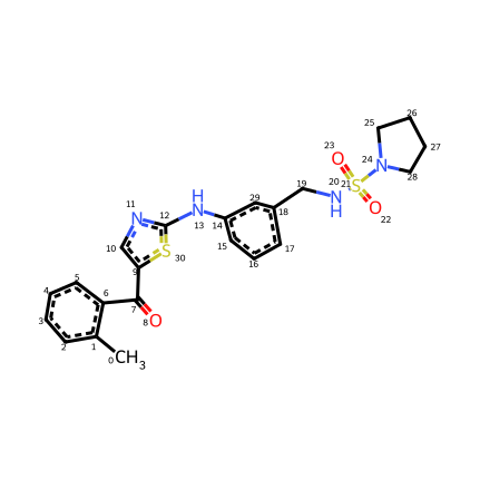 Cc1ccccc1C(=O)c1cnc(Nc2cccc(CNS(=O)(=O)N3CCCC3)c2)s1